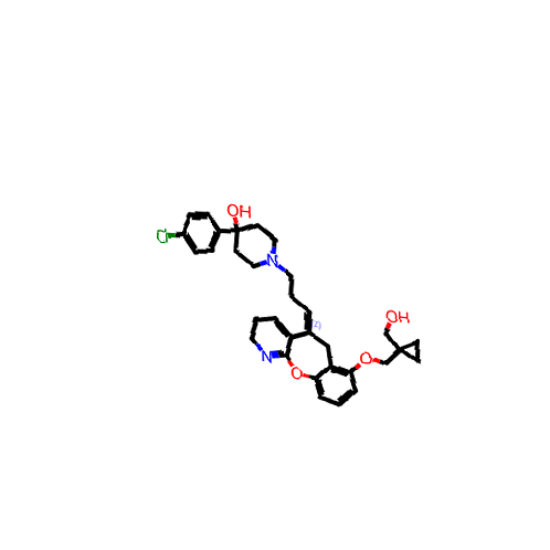 OCC1(COc2cccc3c2C/C(=C/CCN2CCC(O)(c4ccc(Cl)cc4)CC2)C2=CCCN=C2O3)CC1